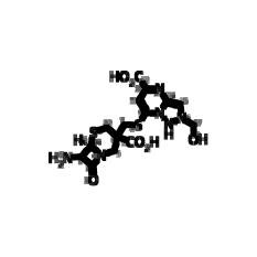 NC1C(=O)N2CC(CSC3=CC(C(=O)O)=NC4=CN(CO)NN43)(C(=O)O)CS[C@H]12